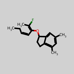 CC/C=C\C(OC1CCc2c(C)cc(C)cc21)=C(/C)F